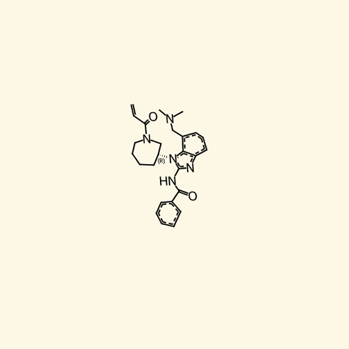 C=CC(=O)N1CCCC[C@@H](n2c(NC(=O)c3ccccc3)nc3cccc(CN(C)C)c32)C1